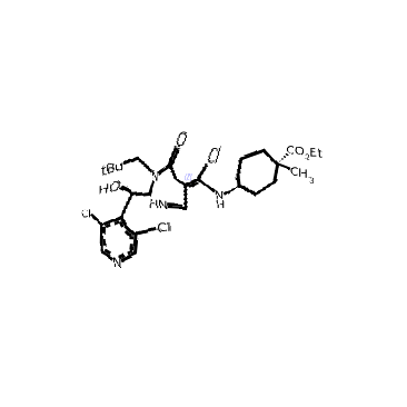 CCOC(=O)[C@]1(C)CC[C@@H](N/C(Cl)=C(\C=N)C(=O)N(CC(O)c2c(Cl)cncc2Cl)CC(C)(C)C)CC1